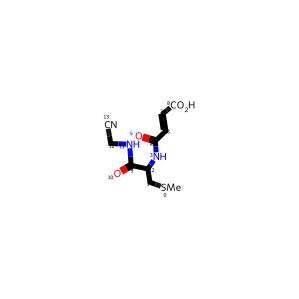 CSCC(NC(=O)C=CC(=O)O)C(=O)NCC#N